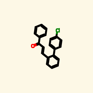 O=C(C=Cc1ccccc1-c1ccc(Cl)cc1)c1ccccc1